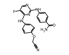 N#CCOc1ccc(Nc2nc(Nc3ccc(C(N)=O)cc3)ncc2F)cc1